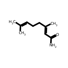 CC(C)=CCCC(C)=CC(N)=O